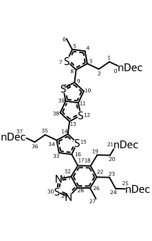 CCCCCCCCCCCCc1cc(C)sc1-c1cc2sc(-c3sc(-c4c(CCCCCCCCCCCC)c(CCCCCCCCCCCC)c(C)c5nsnc45)cc3CCCCCCCCCCCC)cc2s1